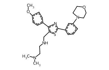 COc1ccc(-c2nc(-c3cccc(N4CCOCC4)c3)sc2CNCCN(C)C)cc1